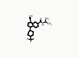 C#Cc1ccc(-c2ccc(C(F)(F)F)cc2)c2ccc(C(=O)NC(C)C)cc12